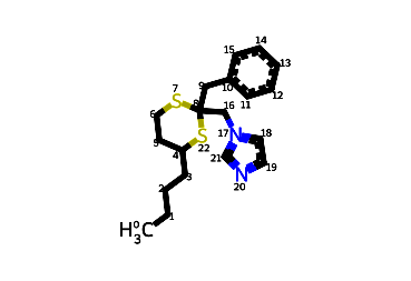 CCCCC1CCSC(Cc2ccccc2)(Cn2ccnc2)S1